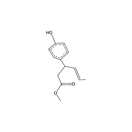 C/C=C/C(CC(=O)OC)c1ccc(O)cc1